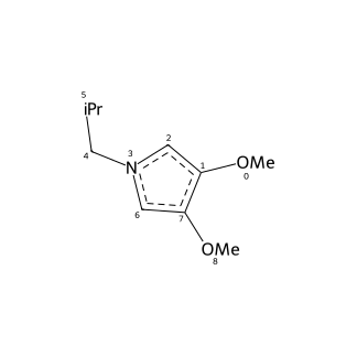 COc1cn(CC(C)C)cc1OC